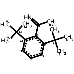 CC(=N)c1c(C(C)(C)C)cccc1C(C)(C)C